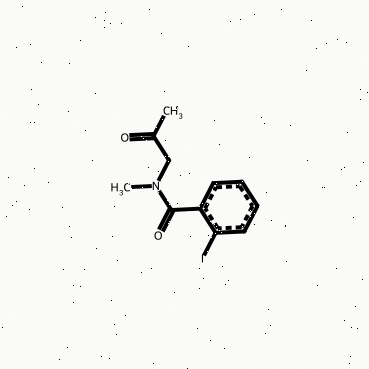 CC(=O)CN(C)C(=O)c1ccccc1I